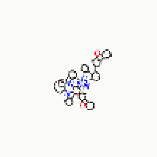 C1#CC/C(n2c3ccccc3c3cccc(-n4c5c(c6cccc(-c7nc(-c8ccc9oc%10ccccc%10c9c8)nc(-c8cccc(-c9ccc%10oc%11ccccc%11c%10c9)c8-c8ccccc8)n7)c64)C=CCC5)c32)=C\C=C/C1